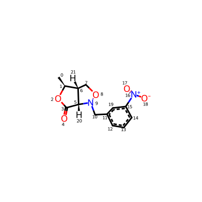 C[C@@H]1OC(=O)[C@@H]2[C@H]1CON2Cc1cccc([N+](=O)[O-])c1